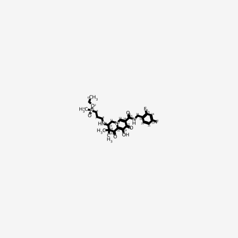 CCOP(C)(=O)CCCNC1Cn2cc(C(=O)NCc3ccc(F)cc3F)c(=O)c(O)c2C(=O)C1(C)C